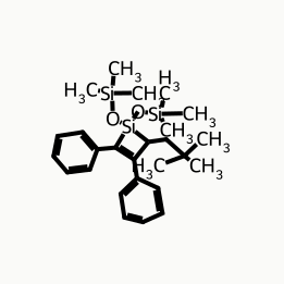 CC(C)(C)CC1C(c2ccccc2)=C(c2ccccc2)[Si]1(O[Si](C)(C)C)O[Si](C)(C)C